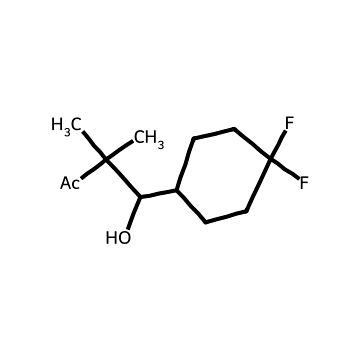 CC(=O)C(C)(C)C(O)C1CCC(F)(F)CC1